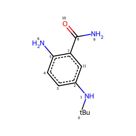 CC(C)(C)Nc1ccc(N)c(C(N)=O)c1